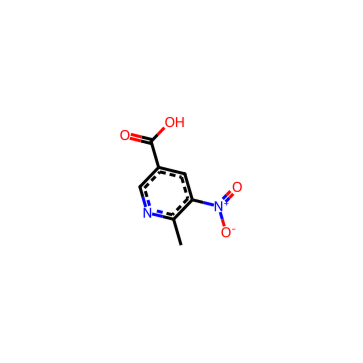 Cc1ncc(C(=O)O)cc1[N+](=O)[O-]